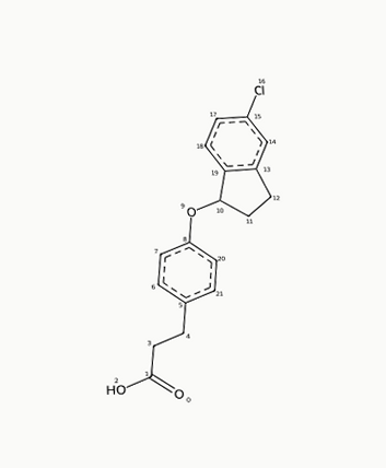 O=C(O)CCc1ccc(OC2CCc3cc(Cl)ccc32)cc1